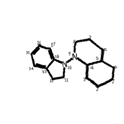 [CH]1CCCC2C1CCCN2N1CCc2ccccc21